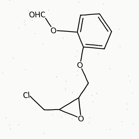 O=COc1ccccc1OCC1OC1CCl